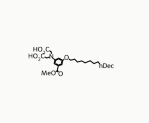 CCCCCCCCCCCCCCCCCCOc1cc(C(=O)OC)cc(N(CC(=O)O)CC(=O)O)c1